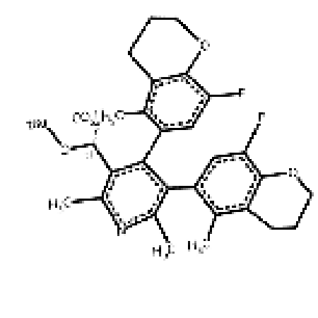 Cc1nc(C)c([C@H](OC(C)(C)C)C(=O)O)c(-c2cc(F)c3c(c2C)CCCO3)c1-c1cc(F)c2c(c1C)CCCO2